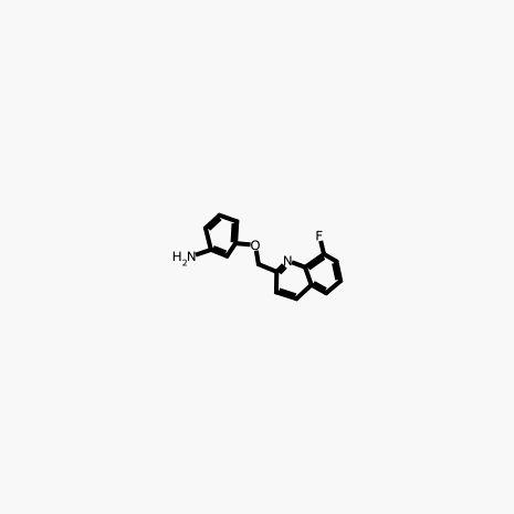 Nc1cccc(OCc2ccc3cccc(F)c3n2)c1